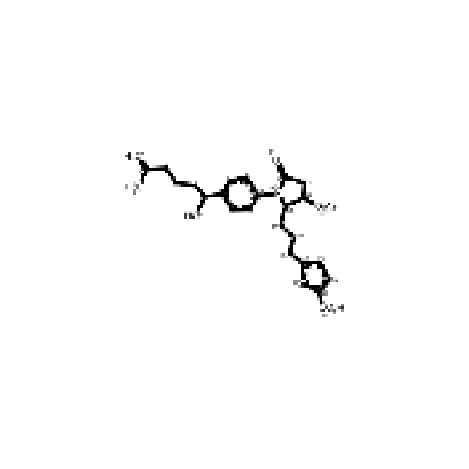 C=C(C)CCCC(O)c1ccc(N2C(=O)CC(OC)C2CCCc2ccc(C(=O)O)s2)cc1